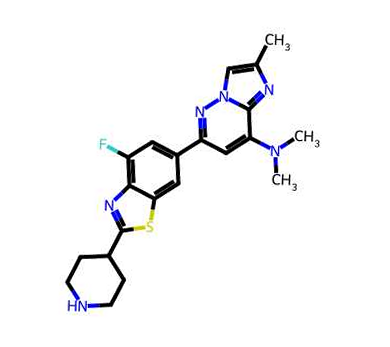 Cc1cn2nc(-c3cc(F)c4nc(C5CCNCC5)sc4c3)cc(N(C)C)c2n1